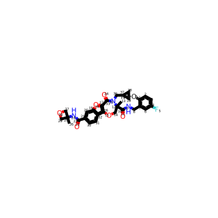 COc1ccc(F)cc1CNC(=O)C1(C)COc2c(oc3cc(C(=O)NC4(C)COC4)ccc23)C(=O)N1CC1CC1